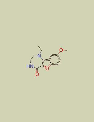 CCN1CCNC(=O)c2oc3ccc(OC)cc3c21